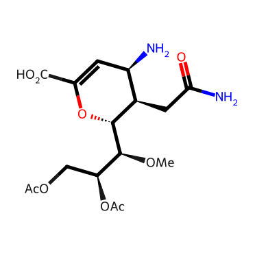 CO[C@H]([C@@H]1OC(C(=O)O)=C[C@@H](N)[C@H]1CC(N)=O)[C@H](COC(C)=O)OC(C)=O